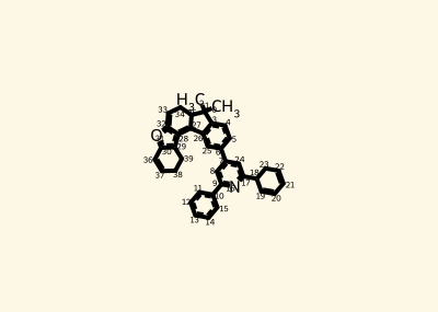 CC1(C)c2ccc(-c3cc(-c4ccccc4)nc(C4C=CC=CC4)c3)cc2C2=c3c4c(oc3=CCC21)C=CCC4